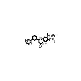 CCCN(C)c1cc2c(cc1C(F)(F)F)NC(=O)CC(c1cccc(-c3cnccn3)c1)=N2